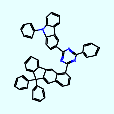 c1ccc(-c2nc(-c3ccc4c(c3)c3ccccc3n4-c3ccccc3)nc(-c3cccc4cc5c(cc34)-c3ccccc3C5(c3ccccc3)c3ccccc3)n2)cc1